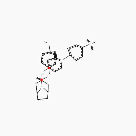 COc1ccc(OC(=O)N2C3CCC2CC(Oc2ccn(-c4ccc(S(C)(=O)=O)cc4)c(=O)c2)C3)cc1